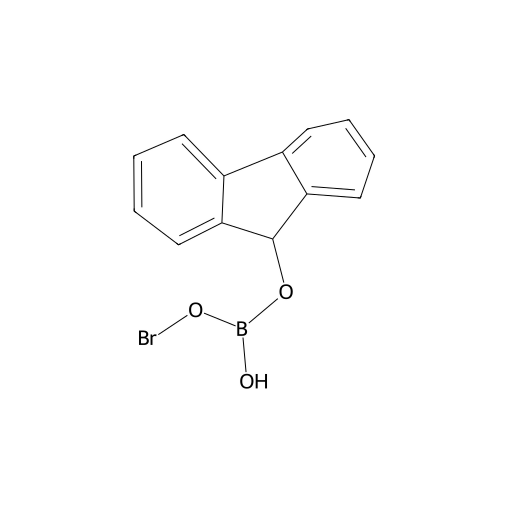 OB(OBr)OC1c2ccccc2-c2ccccc21